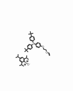 C=COCCOc1ccc([S+](c2ccc(C(C)(C)C)cc2)c2ccc(C(C)(C)C)cc2)cc1.CC(C)c1cc(C(C)C)c(S(=O)(=O)[O-])c(C(C)C)c1